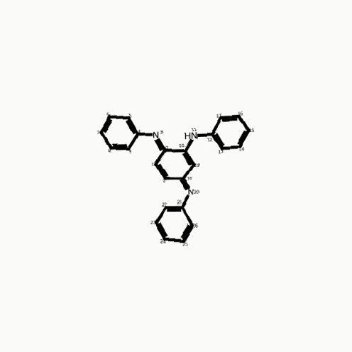 C1=CC(=Nc2ccccc2)C(Nc2ccccc2)=CC1=Nc1ccccc1